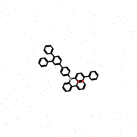 c1ccc(-c2ccc(N(c3ccc(-c4ccc(-c5ccccc5)c(-c5ccccc5)c4)cc3)c3ccccc3-c3ccccc3)cc2)cc1